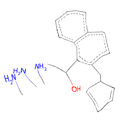 CC(O)c1c(C2C=CC=C2)ccc2ccccc12.CN.CN.CN